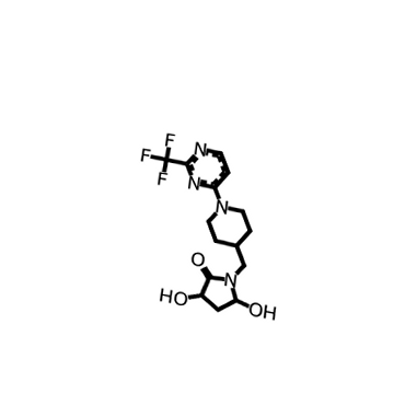 O=C1C(O)CC(O)N1CC1CCN(c2ccnc(C(F)(F)F)n2)CC1